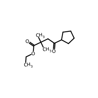 CCOC(=O)C(C)(C)CC(=O)C1CCCC1